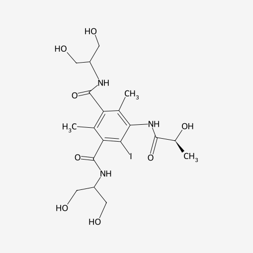 Cc1c(NC(=O)[C@H](C)O)c(I)c(C(=O)NC(CO)CO)c(C)c1C(=O)NC(CO)CO